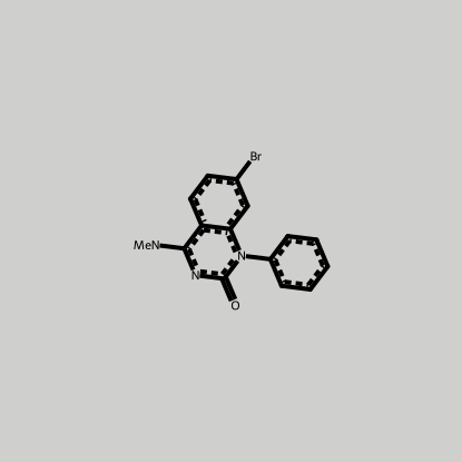 CNc1nc(=O)n(-c2ccccc2)c2cc(Br)ccc12